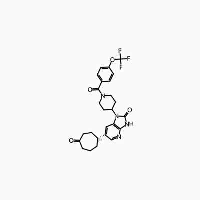 O=C1CCC[C@@H](c2cnc3[nH]c(=O)n(C4CCN(C(=O)c5ccc(OC(F)(F)F)cc5)CC4)c3c2)CC1